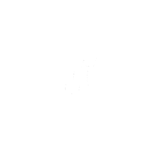 C1=CC2CC3C2C(C1)CC1C2C=CC(C2)C13